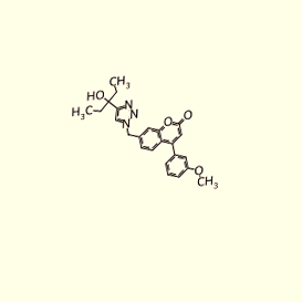 CCC(O)(CC)c1cn(Cc2ccc3c(-c4cccc(OC)c4)cc(=O)oc3c2)nn1